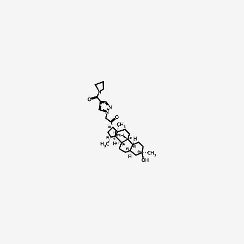 C[C@@H]1C[C@H](C(=O)Cn2cc(C(=O)N3CCC3)cn2)[C@@]2(C)CC[C@H]3[C@@H](CC[C@@H]4C[C@](C)(O)CC[C@@H]43)[C@H]12